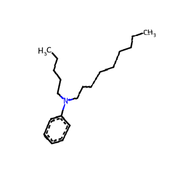 CCCCCCCCCN(CCCCC)c1ccccc1